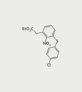 CCOC(=O)Cc1cccc(Sc2ccc(Cl)cc2)c1[N+](=O)[O-]